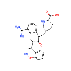 CC(C(=O)C(CC1CCC(C(=O)O)NC1)c1cccc(C(=N)N)c1)C1CNOc2ccccc21